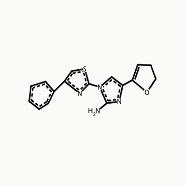 Nc1nc(C2=CCCO2)cn1-c1nc(-c2ccccc2)cs1